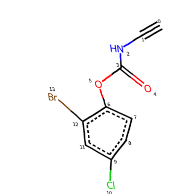 C#CNC(=O)Oc1ccc(Cl)cc1Br